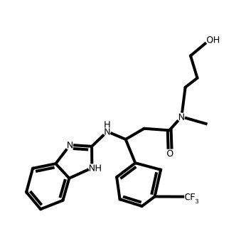 CN(CCCO)C(=O)CC(Nc1nc2ccccc2[nH]1)c1cccc(C(F)(F)F)c1